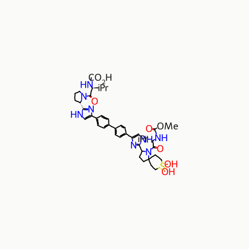 COC(=O)N[C@H](C(=O)N1C(c2nc(-c3ccc(-c4ccc(-c5c[nH]c([C@@H]6CCCN6C(=O)[C@@H](NC(=O)O)C(C)C)n5)cc4)cc3)c[nH]2)CCC12CCS(O)(O)CC2)C(C)C